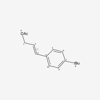 CC(=O)OC/C=C/c1ccc(C(C)(C)C)cc1